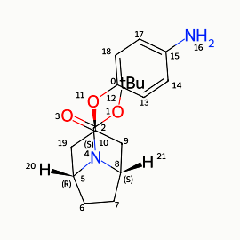 CC(C)(C)OC(=O)N1[C@@H]2CC[C@H]1C[C@H](Oc1ccc(N)cc1)C2